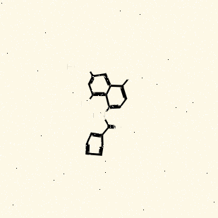 O=C(Nc1ccc(S(=O)(=O)O)c2cc(S(=O)(=O)O)[c]c(O)c12)c1ccccc1